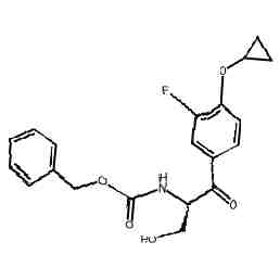 O=C(N[C@H](CO)C(=O)c1ccc(OC2CC2)c(F)c1)OCc1ccccc1